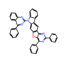 c1ccc(-c2nc(-c3ccccc3)c3oc4cc5c(cc4c3n2)c2ccccc2n5-c2nc(-c3ccccc3)c3ccccc3n2)cc1